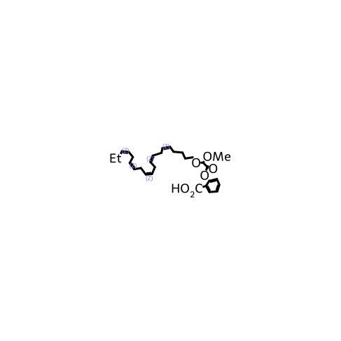 CC/C=C\C/C=C\C/C=C\C/C=C\C/C=C\CCCCOC(OC)C(=O)Oc1ccccc1C(=O)O